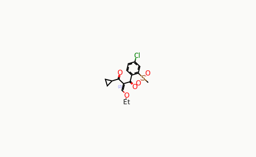 CCO/C=C(\C(=O)c1ccc(Cl)cc1S(C)(=O)=O)C(=O)C1CC1